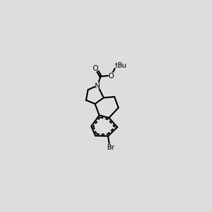 CC(C)(C)OC(=O)N1CCC2c3ccc(Br)cc3CCC21